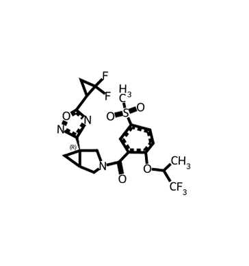 CC(Oc1ccc(S(C)(=O)=O)cc1C(=O)N1CC2C[C@]2(c2noc(C3CC3(F)F)n2)C1)C(F)(F)F